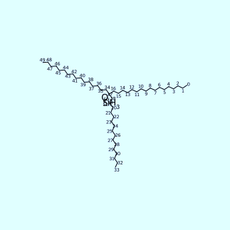 CCCCCCCCCCCCCCCCCC(CCCCCCCCCCCCCCCC)(CCCCCCCCCCCCCCCC)O[SiH3]